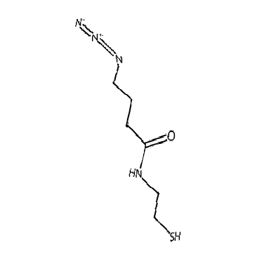 [N-]=[N+]=NCCCC(=O)NCCS